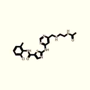 CC(=O)NCCNCc1cc(Nc2ncc(C(=O)Nc3c(C)cccc3Cl)s2)ncn1